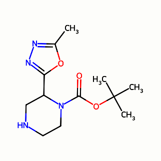 Cc1nnc(C2CNCCN2C(=O)OC(C)(C)C)o1